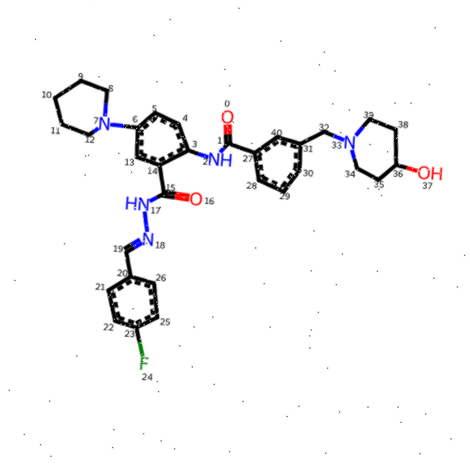 O=C(Nc1ccc(N2CCCCC2)cc1C(=O)NN=Cc1ccc(F)cc1)c1cccc(CN2CCC(O)CC2)c1